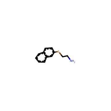 N[CH]CSc1ccc2ccccc2c1